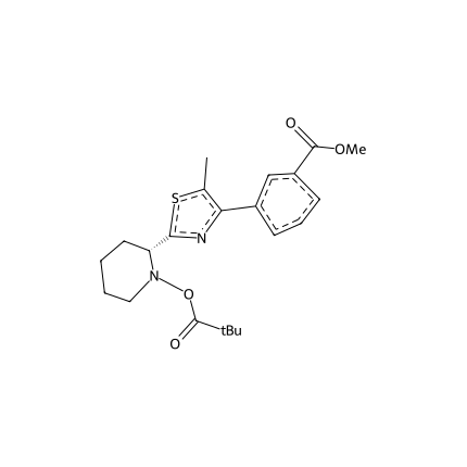 COC(=O)c1cccc(-c2nc([C@H]3CCCCN3OC(=O)C(C)(C)C)sc2C)c1